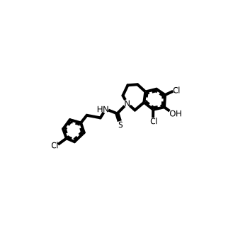 Oc1c(Cl)cc2c(c1Cl)CN(C(=S)NCCc1ccc(Cl)cc1)CCC2